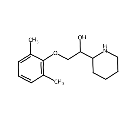 Cc1cccc(C)c1OCC(O)C1CCCCN1